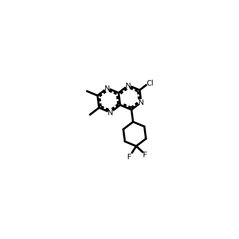 Cc1nc2nc(Cl)nc(C3CCC(F)(F)CC3)c2nc1C